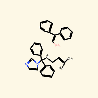 BC=C(c1ccccc1)c1ccccc1.CC(C)=CC[SiH2]C(c1ccccc1)(c1ccccc1)n1ccnc1